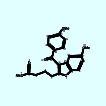 COC(=O)CCCc1oc2ccc(OC)cc2c1C(=O)c1ccc(OC)cc1